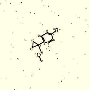 COCC1(c2ccc(Br)cc2)CC1